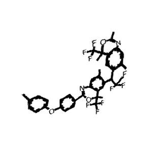 CC1=Nc2cc(C)c(C(c3cc4c(cc3C)N=C(c3ccc(Oc5ccc(C)cc5)cc3)OC4(C)C(F)(F)F)C(F)(F)F)cc2C(C)(C(F)(F)F)O1